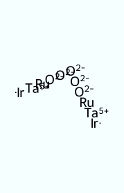 [Ir].[Ir].[O-2].[O-2].[O-2].[O-2].[O-2].[Ru].[Ru].[Ta+5].[Ta+5]